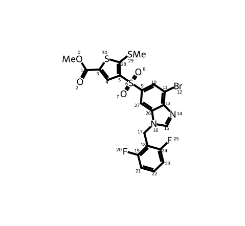 COC(=O)c1cc(S(=O)(=O)c2cc(Br)c3ncn(Cc4c(F)cccc4F)c3c2)c(SC)s1